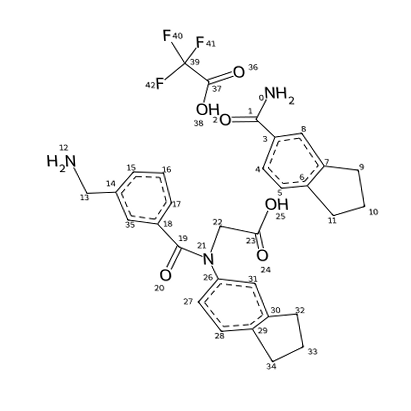 NC(=O)c1ccc2c(c1)CCC2.NCc1cccc(C(=O)N(CC(=O)O)c2ccc3c(c2)CCC3)c1.O=C(O)C(F)(F)F